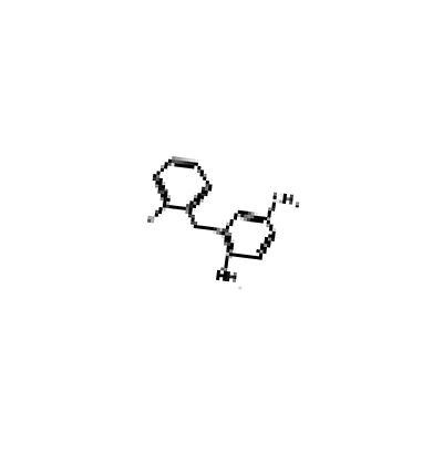 Cc1ccc(N)c(Cc2ccccc2F)c1